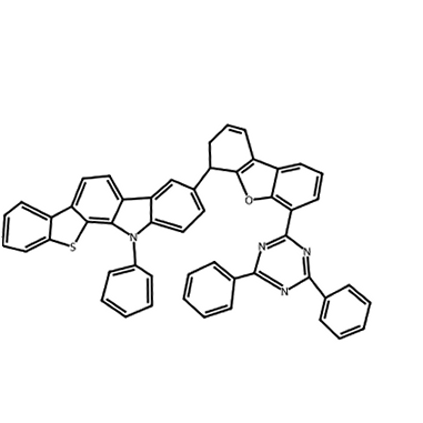 C1=Cc2c(oc3c(-c4nc(-c5ccccc5)nc(-c5ccccc5)n4)cccc23)C(c2ccc3c(c2)c2ccc4c5ccccc5sc4c2n3-c2ccccc2)C1